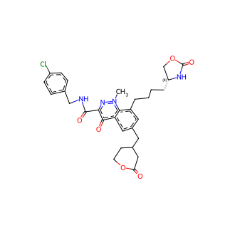 Cn1nc(C(=O)NCc2ccc(Cl)cc2)c(=O)c2cc(CC3CCOC(=O)C3)cc(CCCC[C@@H]3COC(=O)N3)c21